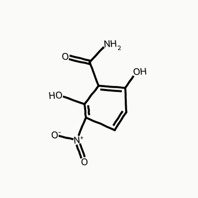 NC(=O)c1c(O)ccc([N+](=O)[O-])c1O